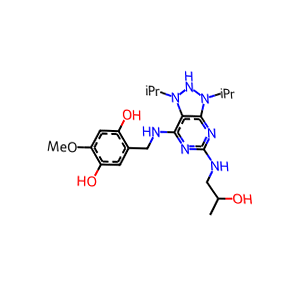 COc1cc(O)c(CNc2nc(NCC(C)O)nc3c2N(C(C)C)NN3C(C)C)cc1O